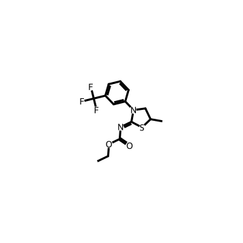 CCOC(=O)N=C1SC(C)CN1c1cccc(C(F)(F)F)c1